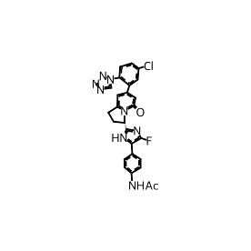 CC(=O)Nc1ccc(-c2[nH]c([C@@H]3CCc4cc(-c5cc(Cl)ccc5-n5cnnn5)cc(=O)n43)nc2F)cc1